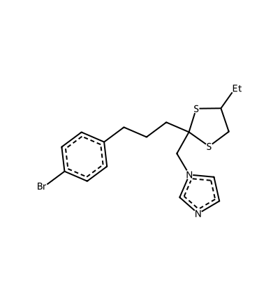 CCC1CSC(CCCc2ccc(Br)cc2)(Cn2ccnc2)S1